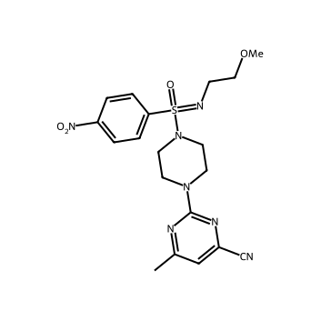 COCCN=S(=O)(c1ccc([N+](=O)[O-])cc1)N1CCN(c2nc(C)cc(C#N)n2)CC1